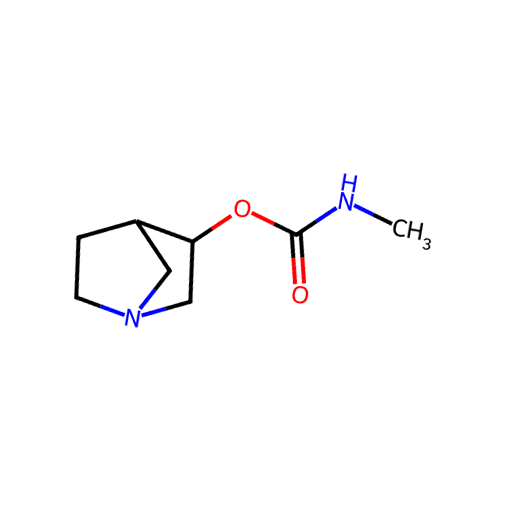 CNC(=O)OC1CN2CCC1C2